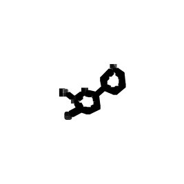 CCn1nc(-c2cccnc2)ccc1=O